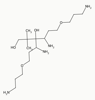 CC(C)(CO)C(O)(C(N)CCOCCCN)C(N)CCOCCCN